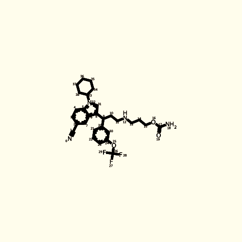 N#Cc1ccc2c(c1)c(C(CCNCCCOC(N)=O)c1cccc(OC(F)(F)F)c1)cn2C1CCCCC1